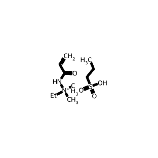 C=CC(=O)N[N+](C)(C)CC.CCCS(=O)(=O)O